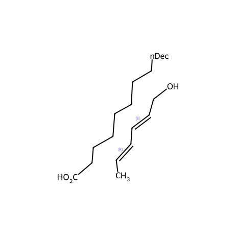 C/C=C/C=C/CO.CCCCCCCCCCCCCCCCCC(=O)O